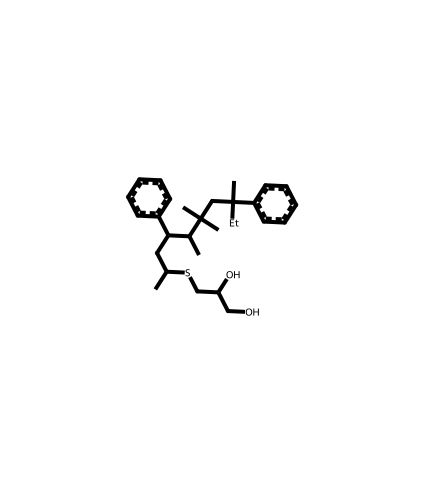 CCC(C)(CC(C)(C)C(C)C(CC(C)SCC(O)CO)c1ccccc1)c1ccccc1